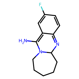 NC1=c2cc(F)ccc2=NC2CCCCCN12